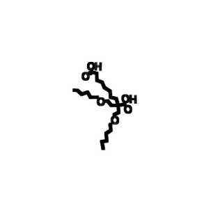 CCCCCCOCCC(CCCCCCCC(=O)O)(CCOCCCCCC)C(=O)O